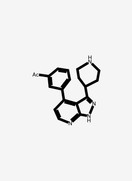 CC(=O)c1cccc(-c2ccnc3[nH]nc(C4CCNCC4)c23)c1